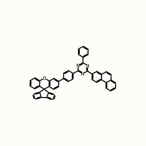 c1ccc(-c2nc(-c3ccc(-c4ccc5c(c4)Oc4ccccc4C54c5ccccc5-c5ccccc54)cc3)nc(-c3ccc4c(ccc5ccccc54)c3)n2)cc1